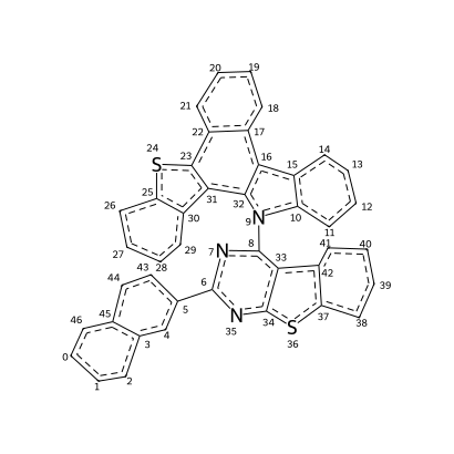 c1ccc2cc(-c3nc(-n4c5ccccc5c5c6ccccc6c6sc7ccccc7c6c54)c4c(n3)sc3ccccc34)ccc2c1